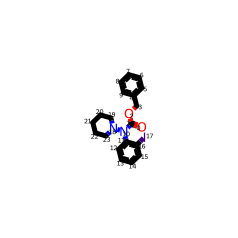 O=C(OCc1ccccc1)N(c1ccccc1I)N1CCCCC1